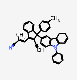 C#CC1=C(/C=C(\C)C#N)c2ccccc2C1(c1ccc(C)cc1)c1ccc2c(c1)c1c(n2-c2ccccc2)C=CCC1